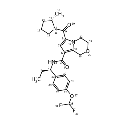 CC[C@@H](NC(=O)c1cc(C(=O)N2CCC[C@@H]2C)n2c1COCC2)c1ccc(OC(F)F)cc1